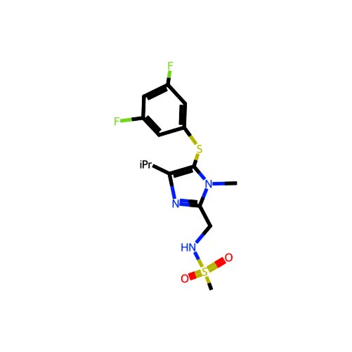 CC(C)c1nc(CNS(C)(=O)=O)n(C)c1Sc1cc(F)cc(F)c1